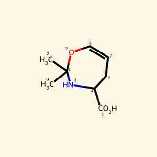 CC1(C)NC(C(=O)O)CC=CO1